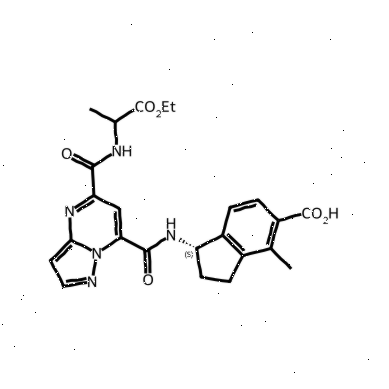 CCOC(=O)C(C)NC(=O)c1cc(C(=O)N[C@H]2CCc3c2ccc(C(=O)O)c3C)n2nccc2n1